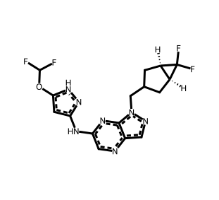 FC(F)Oc1cc(Nc2cnc3cnn(CC4C[C@@H]5[C@H](C4)C5(F)F)c3n2)n[nH]1